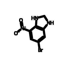 O=[N+]([O-])c1cc(Br)cc2c1NCN2